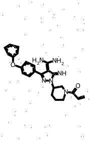 C=CC(=O)N1CCCC(N2N=C(c3ccc(Oc4ccccc4)cc3)C(=C(N)N)C2=N)C1